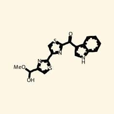 COC(O)c1csc(-c2csc(C(=O)c3c[nH]c4ccccc34)n2)n1